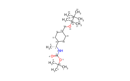 C[C@@H](NC(=O)OC(C)(C)C)C1CCC(CO[Si](C)(C)C(C)(C)C)CC1